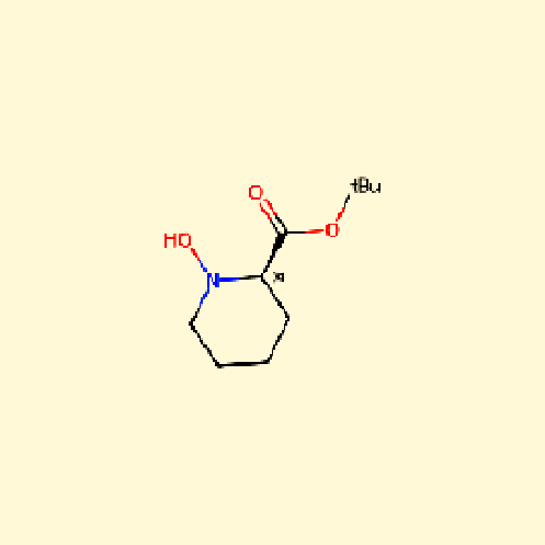 CC(C)(C)OC(=O)[C@H]1CCCCN1O